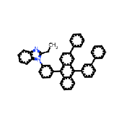 CCc1nc2ccccc2n1-c1cccc(-c2c3ccccc3c(-c3cccc(-c4ccccc4)c3)c3cc(-c4ccccc4)ccc23)c1